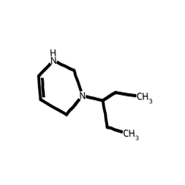 CCC(CC)N1CC=CNC1